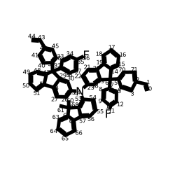 C=Cc1ccc(C2(c3ccc(F)cc3)c3ccccc3-c3ccc(N(c4ccc5c(c4)C(c4ccc(F)cc4)(c4ccc(C=C)cc4)c4ccccc4-5)c4cccc5c4C(C)(C)c4ccccc4-5)cc32)cc1